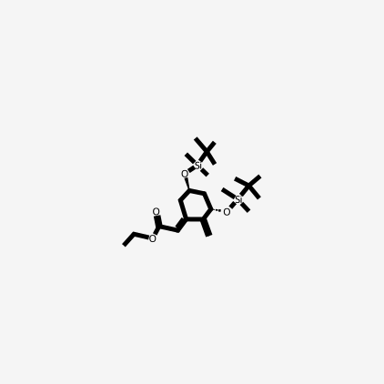 C=C1/C(=C/C(=O)OCC)C[C@@H](O[Si](C)(C)C(C)(C)C)C[C@@H]1O[Si](C)(C)C(C)(C)C